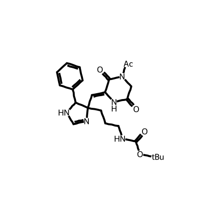 CC(=O)N1CC(=O)N/C(=C\C2(CCCNC(=O)OC(C)(C)C)N=CNC2c2ccccc2)C1=O